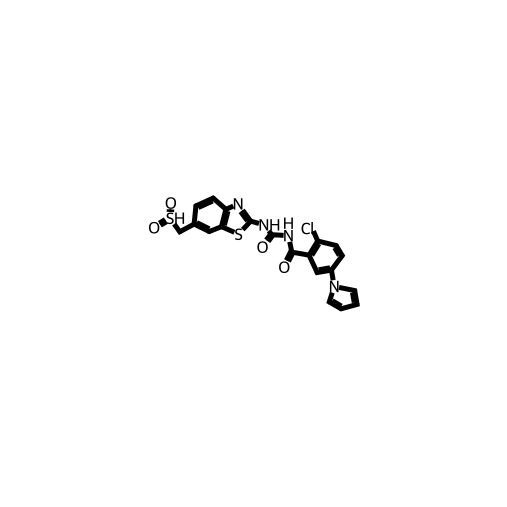 O=C(NC(=O)c1cc(-n2cccc2)ccc1Cl)Nc1nc2ccc(C[SH](=O)=O)cc2s1